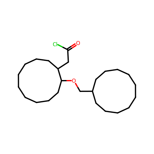 O=C(Cl)CC1CCCCCCCCCC1OCC1CCCCCCCCCC1